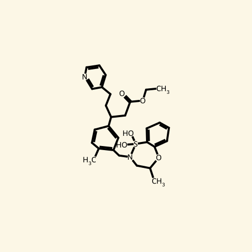 CCOC(=O)CC(CCc1cccnc1)c1ccc(C)c(CN2CC(C)Oc3ccccc3S2(O)O)c1